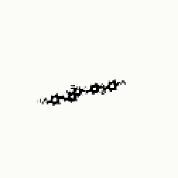 C=CC1CCC(CCc2ccc3cc(OCc4ccc(OC(=O)C5CCC(CCC)CC5)cc4)oc(=O)c3c2F)CC1